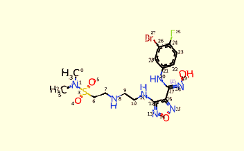 CN(C)S(=O)(=O)CCNCCNc1nonc1/C(=N/O)Nc1ccc(F)c(Br)c1